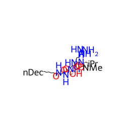 CCCCCCCCCCCCCCCC(=O)NCC(=O)N[C@@H](CO)C(=O)NCC(=O)N[C@@H](CCCNC(=N)N)C(=O)N[C@@H](CC(C)C)C(=O)NC